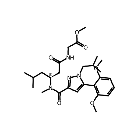 COC(=O)CNC(=O)C[C@H](CC(C)C)N(C)C(=O)c1cc(-c2c(OC)cccc2OC)n(CC(C)C)n1